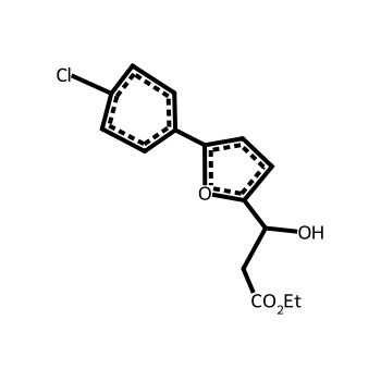 CCOC(=O)CC(O)c1ccc(-c2ccc(Cl)cc2)o1